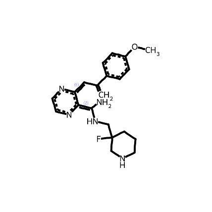 C=C(/C=c1/nccn/c1=C(/N)NCC1(F)CCCNC1)c1ccc(OC)cc1